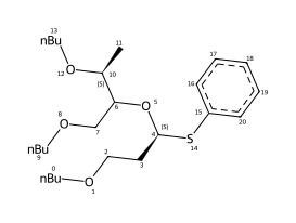 CCCCOCC[C@@H](OC(COCCCC)[C@H](C)OCCCC)Sc1ccccc1